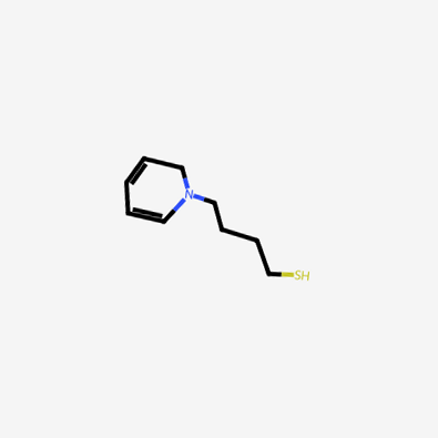 SCCCCN1C=CC=CC1